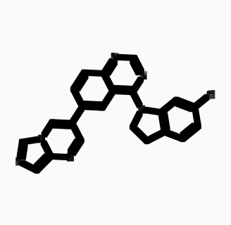 Clc1ccc2c(c1)N(c1ncnc3ccc(-c4cnc5cncn5c4)cc13)CC2